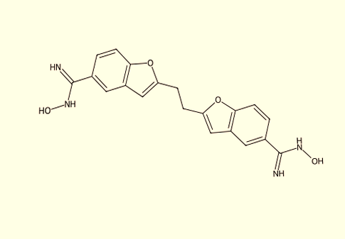 N=C(NO)c1ccc2oc(CCc3cc4cc(C(=N)NO)ccc4o3)cc2c1